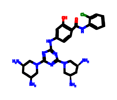 N[C@@H]1C[C@H](N)CN(c2nc(Nc3ccc(C(=O)Nc4ccccc4Cl)c(O)c3)nc(N3C[C@H](N)C[C@H](N)C3)n2)C1